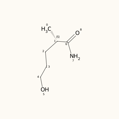 C[C@@H](C[CH]CO)C(N)=O